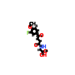 COc1ccc(C(=O)CCC(=O)NCC(=O)O)cc1F